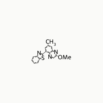 COc1cnc2c(-c3nc4ccccc4s3)cc(C)cc2n1